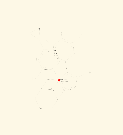 Cc1nc(C2CC2)ccc1C(=O)N1C2CCCC1c1nn(C)c(-c3cc(F)c(F)c(F)c3)c1C2